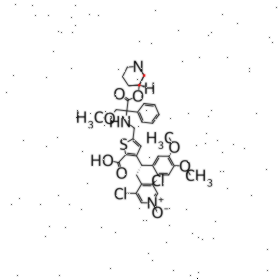 COCC(NCc1cc([C@@H](Cc2c(Cl)c[n+]([O-])cc2Cl)c2ccc(OC)c(OC)c2)c(C(=O)O)s1)(C(=O)O[C@H]1CN2CCC1CC2)c1ccccc1